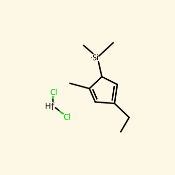 CCC1=CC([Si](C)C)C(C)=C1.[Cl][Hf][Cl]